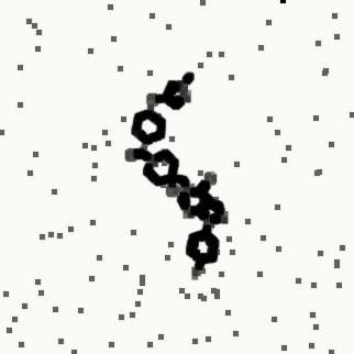 Cn1cc(O[C@H]2CC[C@@H](C(=O)N3CCC(O)(Cn4cnc5c(cnn5-c5ccc(F)cc5)c4=O)CC3)CC2)cn1